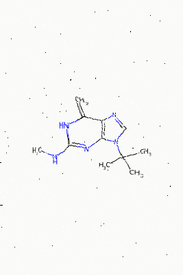 C=C1NC(NC)=Nc2c1ncn2C(C)(C)C